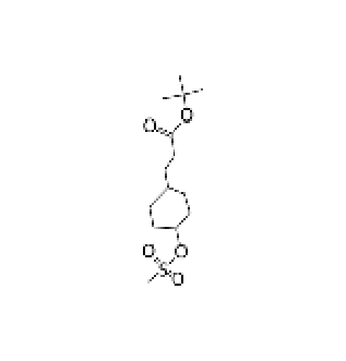 CC(C)(C)OC(=O)CCC1CCC(OS(C)(=O)=O)CC1